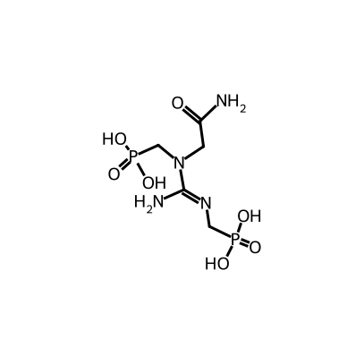 NC(=O)CN(CP(=O)(O)O)C(N)=NCP(=O)(O)O